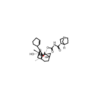 C[C@H]1[C@H](O)[C@](C)(C2C=CCCC2)C[C@@H](OC(=O)NC(=O)[C@H]2CN3CC[C@@H]2C3)[C@]23C[C@@H]2CCC12CCC(=O)C23